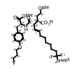 CCCCCCCC(F)(F)CCCCCC/C=C/[C@H](C(=O)N[C@@H](Cc1ccc(OCCCF)cc1)C(=O)OC)[C@@H](CCOC)C(=O)O